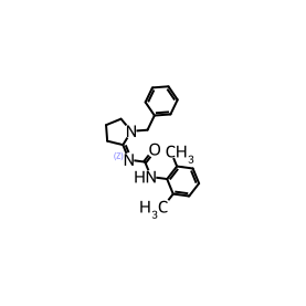 Cc1cccc(C)c1NC(=O)/N=C1/CCCN1Cc1ccccc1